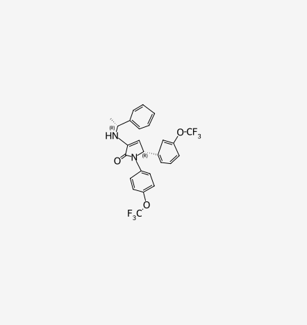 C[C@@H](NC1=C[C@H](c2cccc(OC(F)(F)F)c2)N(c2ccc(OC(F)(F)F)cc2)C1=O)c1ccccc1